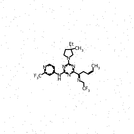 C/C=C\C/C(=N\CC(F)(F)F)c1nc(Nc2ccnc(C(F)(F)F)c2)nc(N2CC[C@](C)(CC)C2)n1